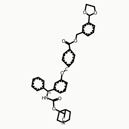 O=C(N[C@@H](c1ccccc1)c1cccc(OCc2ccc(C(=O)OCc3cccc(C4OCCO4)c3)cc2)c1)OC1CN2CCC1CC2